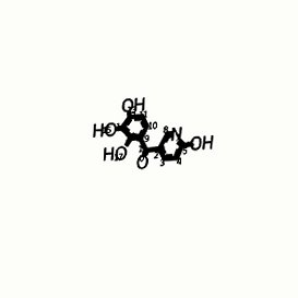 O=C(c1ccc(O)nc1)c1ccc(O)c(O)c1O